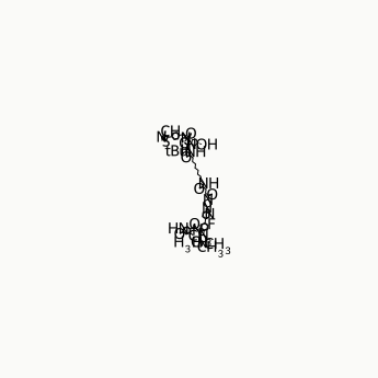 Cc1ncsc1-c1ccc(CNC(=O)[C@@H]2C[C@@H](O)CN2C(=O)[C@@H](NC(=O)CCCCCCCCNC(=O)CCC(=O)N2CCN(c3ccc(-c4cc(NC(=O)c5c[nH]c(=O)cc5C(F)(F)F)c(N5C[C@@H](C)N(C)[C@@H](C)C5)cc4F)cn3)CC2)C(C)(C)C)cc1